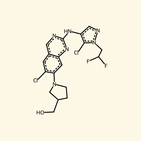 OCC1CCN(c2cc3nc(Nc4cnn(CC(F)F)c4Cl)ncc3cc2Cl)C1